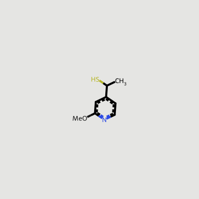 COc1cc(C(C)S)ccn1